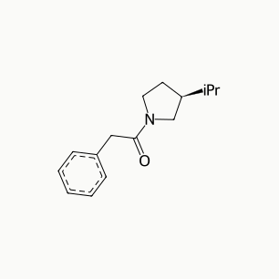 CC(C)[C@@H]1CCN(C(=O)Cc2ccccc2)C1